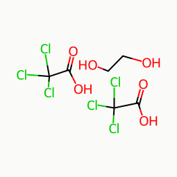 O=C(O)C(Cl)(Cl)Cl.O=C(O)C(Cl)(Cl)Cl.OCCO